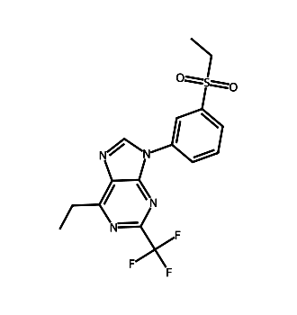 CCc1nc(C(F)(F)F)nc2c1ncn2-c1cccc(S(=O)(=O)CC)c1